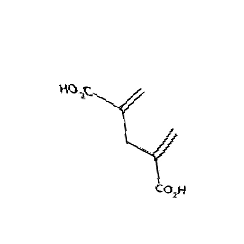 C=C(CC(=C)C(=O)O)C(=O)O